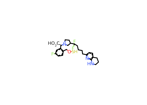 O=C(O)[C@H](c1cc(F)ccc1COS)N1CCC(C(F)(F)CCCCc2ccc3c(n2)NCCC3)C1